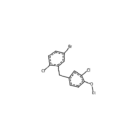 CCOc1ccc(Cc2cc(Br)ccc2Cl)cc1Cl